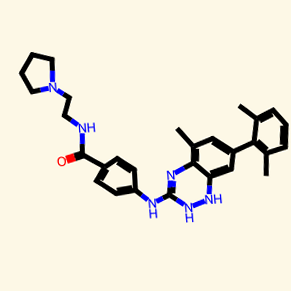 Cc1cc(-c2c(C)cccc2C)cc2c1N=C(Nc1ccc(C(=O)NCCN3CCCC3)cc1)NN2